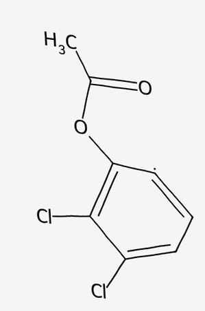 CC(=O)Oc1[c]ccc(Cl)c1Cl